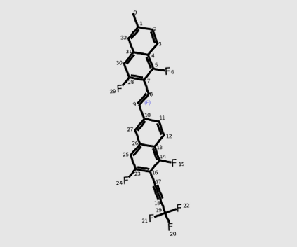 Cc1ccc2c(F)c(/C=C/c3ccc4c(F)c(C#CC(F)(F)F)c(F)cc4c3)c(F)cc2c1